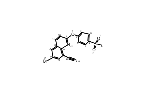 CS(=O)(=O)c1ccc(Oc2ccc3cc(Br)cc(C#N)c3n2)cc1